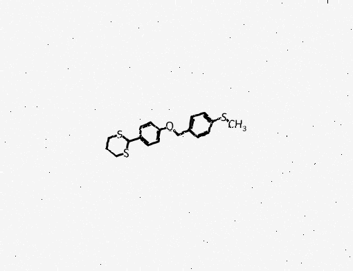 CSc1ccc(COc2ccc(C3SCCCS3)cc2)cc1